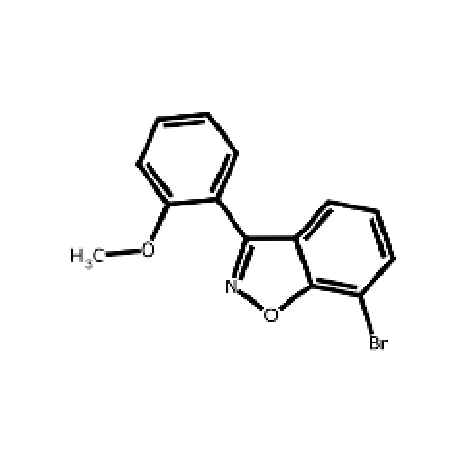 COc1ccccc1-c1noc2c(Br)cccc12